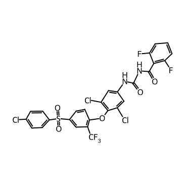 O=C(NC(=O)c1c(F)cccc1F)Nc1cc(Cl)c(Oc2ccc(S(=O)(=O)c3ccc(Cl)cc3)cc2C(F)(F)F)c(Cl)c1